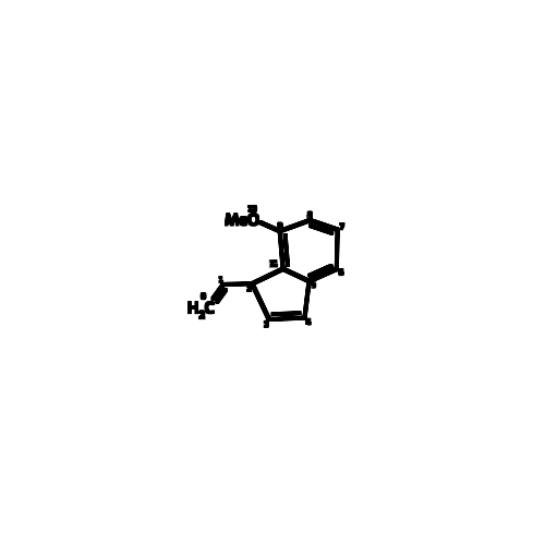 C=CC1C=Cc2cccc(OC)c21